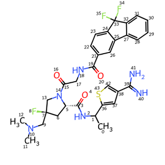 CC(NC(=O)[C@@H]1C[C@](F)(CN(C)C)CN1C(=O)CNC(=O)c1ccc2c(c1)-c1ccccc1C2(F)F)c1cc(C(=N)N)cs1